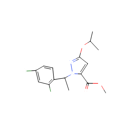 COC(=O)c1cc(OC(C)C)nn1C(C)c1ccc(Cl)cc1Cl